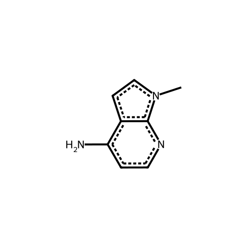 Cn1ccc2c(N)ccnc21